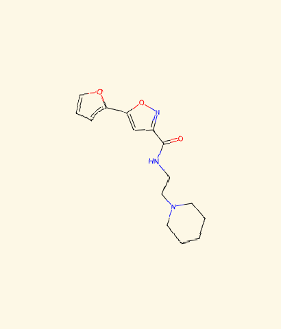 O=C(NCCN1CCCCC1)c1cc(-c2ccco2)on1